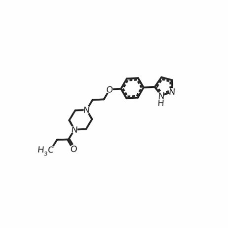 CCC(=O)N1CCN(CCOc2ccc(-c3ccn[nH]3)cc2)CC1